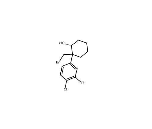 O[C@@H]1CCCC[C@]1(CBr)c1ccc(Cl)c(Cl)c1